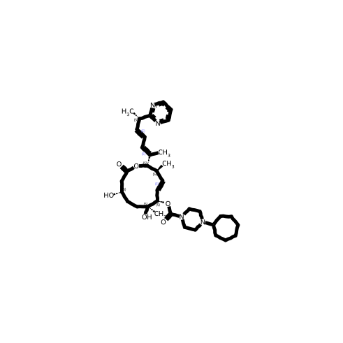 C/C(=C\C=C\[C@H](C)c1ncccn1)[C@H]1OC(=O)C[C@@H](O)CC[C@](C)(O)[C@@H](OC(=O)N2CCN(C3CCCCCC3)CC2)/C=C/[C@@H]1C